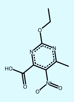 CCOc1nc(C)c([N+](=O)[O-])c(C(=O)O)n1